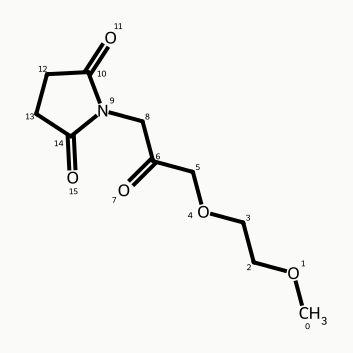 COCCOCC(=O)CN1C(=O)CCC1=O